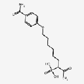 CC(=O)C(CCCCCCOc1ccc(C(N)=O)cc1)P(=O)(O)O